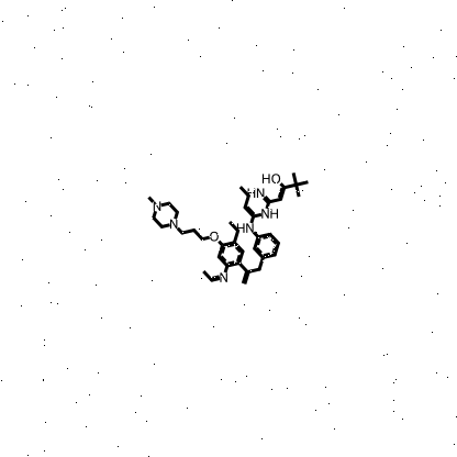 C=C(Cc1cccc(N/C(=C/CC)NC(=N)/C=C(\O)C(C)(C)C)c1)c1cc(CC)c(OCCCN2CCN(C)CC2)cc1/N=C\C